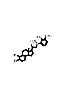 CCCC1C(CC)CCC2C1CCC1(C)C(C(=O)CN(N)c3cccc(OC)c3N)CCC21